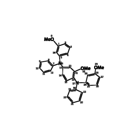 COc1cccc(N(c2ccccc2)c2ccc(N(c3ccccc3)c3cccc(OC)c3)c(OC)c2)c1